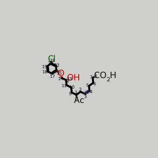 CC(=O)C(C/C=C\CCCC(=O)O)CCCC(O)COc1cccc(Cl)c1